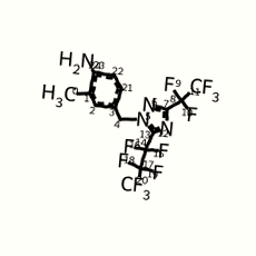 Cc1cc(Cn2nc(C(F)(F)C(F)(F)F)nc2C(F)(F)C(F)(F)C(F)(F)F)ccc1N